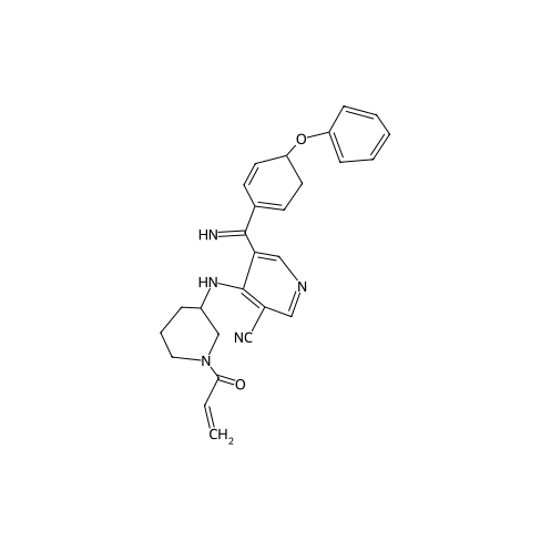 C=CC(=O)N1CCCC(Nc2c(C#N)cncc2C(=N)C2=CCC(Oc3ccccc3)C=C2)C1